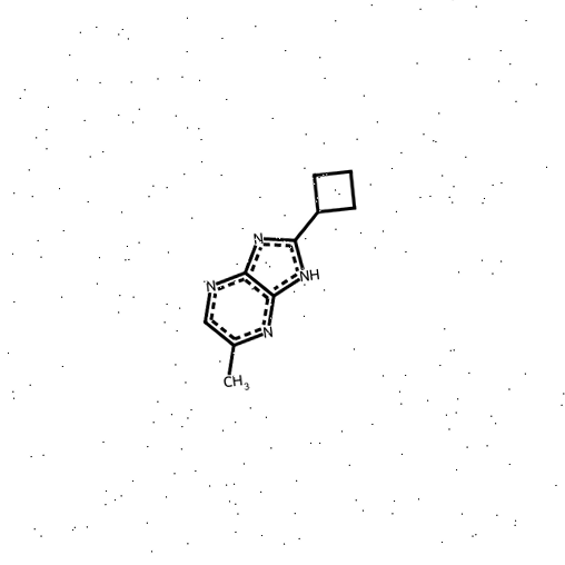 Cc1cnc2nc(C3CCC3)[nH]c2n1